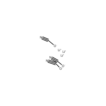 N#C[O-].N#C[O-].N#C[O-].[Li+].[Li+].[Li+]